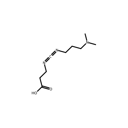 CN(C)CCCN=C=NCCC(=O)O